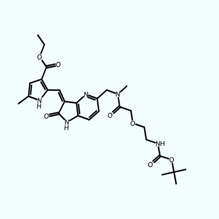 CCOC(=O)c1cc(C)[nH]c1/C=C1\C(=O)Nc2ccc(CN(C)C(=O)COCCNC(=O)OC(C)(C)C)nc21